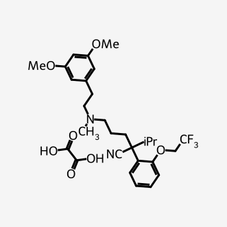 COc1cc(CCN(C)CCCC(C#N)(c2ccccc2OCC(F)(F)F)C(C)C)cc(OC)c1.O=C(O)C(=O)O